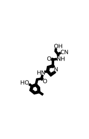 Cc1ccc(O)c(CC(=O)Nc2ccnc(C(=O)NC(C#N)CO)c2)c1